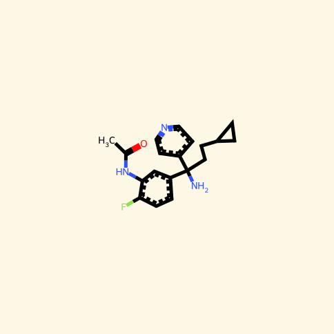 CC(=O)Nc1cc(C(N)(CCC2CC2)c2ccncc2)ccc1F